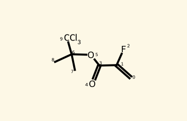 C=C(F)C(=O)OC(C)(C)C(Cl)(Cl)Cl